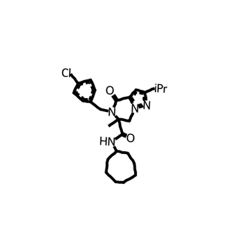 CC(C)c1cc2n(n1)CC(C)(C(=O)NC1CCCCCCC1)N(Cc1ccc(Cl)cc1)C2=O